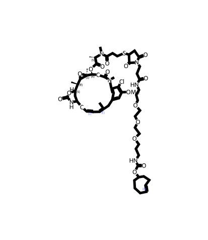 COc1cc2cc(c1Cl)N(C)C(=O)C[C@@H](OC(=O)[C@H](C)N(C)C(=O)CCSC1CC(=O)N(CCC(=O)NCCCOCCOCCOCCCNC(=O)OC3CC/C=C/CCC3)C1=O)[C@]1(C)OC1[C@H](C)[C@@H]1CC(C/C=C\C=C(/C)C2)NC(=O)O1